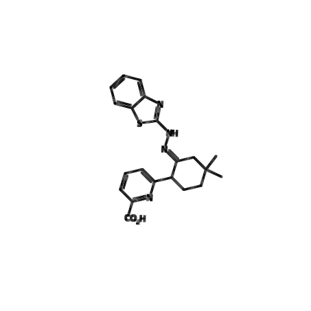 CC1(C)CCC(c2cccc(C(=O)O)n2)/C(=N/Nc2nc3ccccc3s2)C1